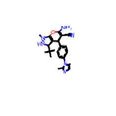 Cc1nccn1-c1ccc(C2C(C#N)=C(N)OC3=C2C(C(C)(C)C)NN3C)cc1